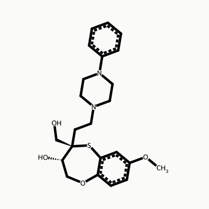 COc1ccc2c(c1)S[C@@](CO)(CCN1CCN(c3ccccc3)CC1)[C@@H](O)CO2